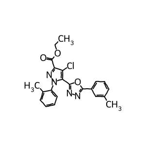 CCOC(=O)c1nn(-c2ccccc2C)c(-c2nnc(-c3cccc(C)c3)o2)c1Cl